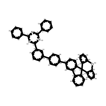 c1ccc(-c2nc(-c3ccccc3)nc(-c3cccc(-c4ccc(-c5ccc6c(c5)-c5ccccc5C65c6ccccc6Oc6ccccc65)cc4)c3)n2)cc1